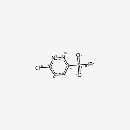 CC(C)S(=O)(=O)c1ccc(Cl)nn1